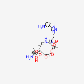 CC[C@H]1OC(=O)[C@H](C)C(=O)[C@H](C)[C@@H](O[C@@H]2O[C@H](C)CC(N)C2O)[C@](C)(OC)C[C@@H](C)CCN[C@H](C)[C@H]2N(CCCCn3cc(-c4cccc(N)c4)nn3)C(=O)O[C@]12C